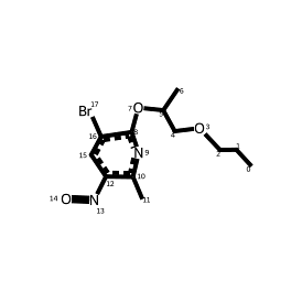 CCCOCC(C)Oc1nc(C)c(N=O)cc1Br